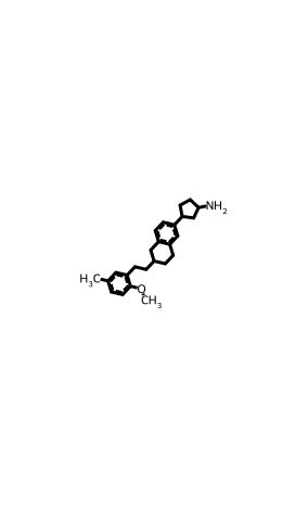 COc1ccc(C)cc1CCC1CCc2cc(C3CCC(N)C3)ccc2C1